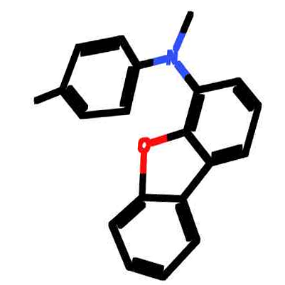 Cc1ccc(N(C)c2cccc3c2oc2ccccc23)cc1